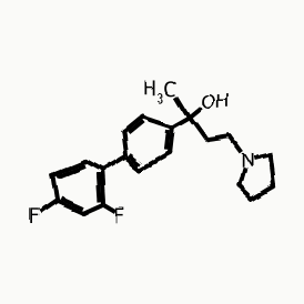 CC(O)(CCN1CCCC1)c1ccc(-c2ccc(F)cc2F)cc1